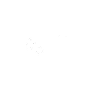 Nc1c(S(=O)(=O)O)cc2cccc(OCCCCS(=O)(=O)O)c2c1O